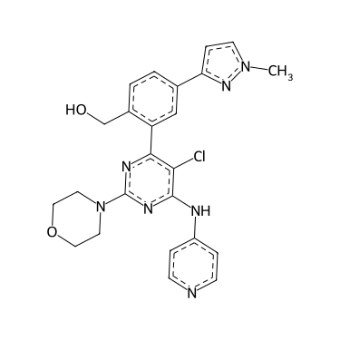 Cn1ccc(-c2ccc(CO)c(-c3nc(N4CCOCC4)nc(Nc4ccncc4)c3Cl)c2)n1